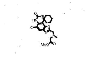 COC(=O)CN(C)Cc1nc2cc(Cl)c3c(c2o1)C1(CCCCC1)NC(=O)N3